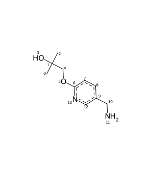 CC(C)(O)COc1ccc(CN)cn1